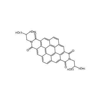 CCCCCCCCCCC(CCCCCCCC)Cn1c(=O)c2cc3ccc4cc5c(=O)n(CC(CCCCCCCC)CCCCCCCCCC)c(=O)c6cc7ccc8cc(c1=O)c2c1c3c4c(c56)c7c81